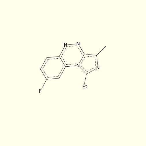 CCc1nc(C)c2nnc3ccc(F)cc3n12